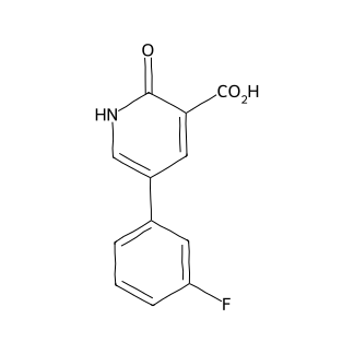 O=C(O)c1cc(-c2cccc(F)c2)c[nH]c1=O